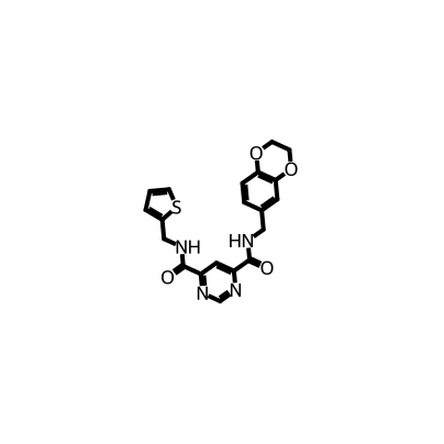 O=C(NCc1ccc2c(c1)OCCO2)c1cc(C(=O)NCc2cccs2)ncn1